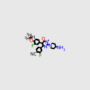 [2H]C([2H])([2H])Oc1ccc(-c2c(-c3ccc(C#N)c(F)c3)nc(N3CCC(N)CC3)n(C)c2=O)cc1F